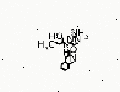 CCCC(CO)Nc1nc(N)ncc1OCc1cc2ccccc2cn1